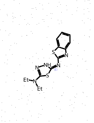 CCN(CC)c1n[nH]/c(=N\c2nc3ccccc3s2)s1